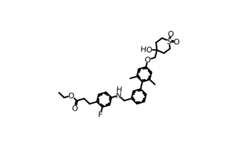 CCOC(=O)CCc1ccc(NCc2cccc(-c3c(C)cc(OCC4(O)CCS(=O)(=O)CC4)cc3C)c2)cc1F